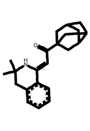 CC1(C)Cc2ccccc2/C(=C/C(=O)C23CC4CC(C2)C(C4)C3)N1